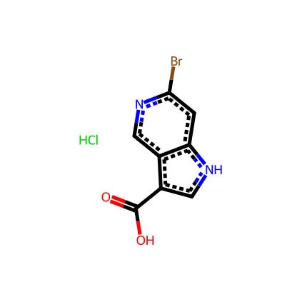 Cl.O=C(O)c1c[nH]c2cc(Br)ncc12